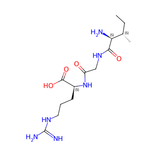 CC[C@H](C)[C@H](N)C(=O)NCC(=O)N[C@@H](CCCNC(=N)N)C(=O)O